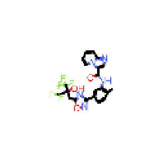 Cc1ccc(-c2noc(CC(O)(C(F)(F)F)C(F)(F)F)n2)cc1NC(=O)c1cnc2ccccn12